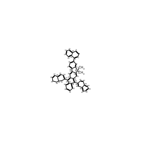 C[Si]1(C)c2cc(-c3cccc4ccccc34)ccc2-c2cc3c(C4=CC=C5C=CCCC5C4)c4ccccc4c(-c4ccc5ccccc5c4)c3cc21